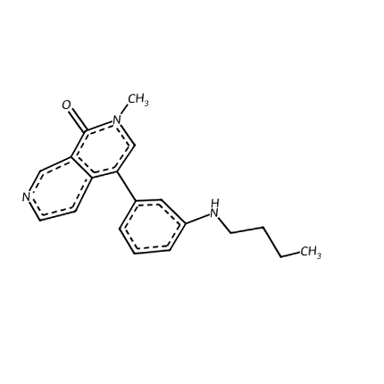 CCCCNc1cccc(-c2cn(C)c(=O)c3cnccc23)c1